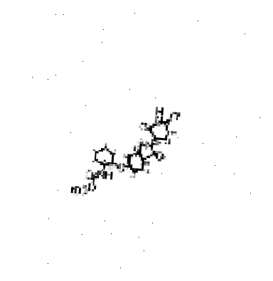 CC(C)(C)OC(=O)N[C@H]1CCCC[C@H]1Oc1ccc2c(c1)CN(C1CCC(=O)NC1=O)C2=O